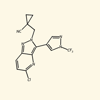 N#CC1(Cn2nc3ccc(Cl)nc3c2-c2cnn(C(F)(F)F)c2)CC1